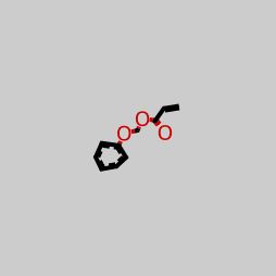 C=CC(=O)OCOc1ccccc1